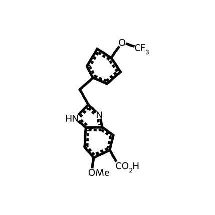 COc1cc2[nH]c(Cc3ccc(OC(F)(F)F)cc3)nc2cc1C(=O)O